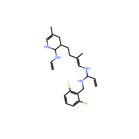 C=CNC1NC=C(C)CC1CC/C(C)=C/NC(C=C)NCc1c(F)cccc1F